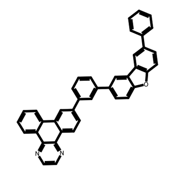 c1ccc(-c2ccc3oc4ccc(-c5cccc(-c6ccc7c(c6)c6ccccc6c6nccnc76)c5)cc4c3c2)cc1